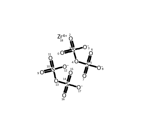 O=S(=O)([O-])OS(=O)(=O)[O-].O=S(=O)([O-])OS(=O)(=O)[O-].[Zr+4]